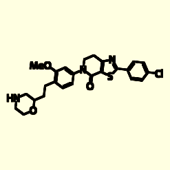 COc1cc(N2CCc3nc(-c4ccc(Cl)cc4)sc3C2=O)ccc1CCC1CNCCO1